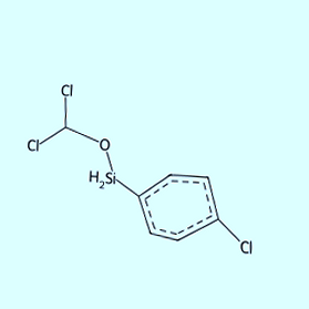 Clc1ccc([SiH2]OC(Cl)Cl)cc1